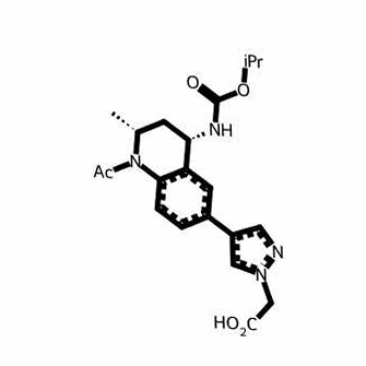 CC(=O)N1c2ccc(-c3cnn(CC(=O)O)c3)cc2[C@@H](NC(=O)OC(C)C)C[C@H]1C